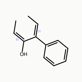 C/C=C(\C(O)=C/C)c1ccccc1